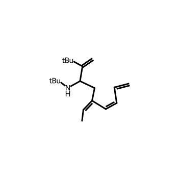 C=C/C=C\C(=C/C)CC(NC(C)(C)C)C(=C)C(C)(C)C